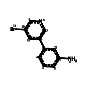 Nc1cccc(-c2cncc(Br)c2)c1